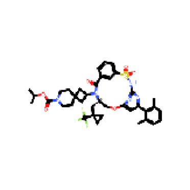 Cc1cccc(C)c1-c1cc2nc(n1)NS(=O)(=O)c1cccc(c1)C(=O)N(C1CC3(CCN(C(=O)OC(C)C)CC3)C1)[C@H](CC1(C(F)(F)F)CC1)CO2